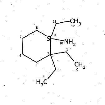 CCC1(CC)CCCC[Si]1(N)CC